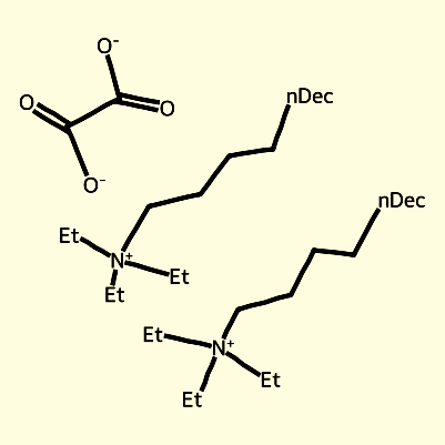 CCCCCCCCCCCCCC[N+](CC)(CC)CC.CCCCCCCCCCCCCC[N+](CC)(CC)CC.O=C([O-])C(=O)[O-]